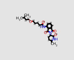 C=C1CCC(N2C(=O)c3cccc(NC(=O)CCCCOCCC(C)C)c3C2=O)C(=O)N1